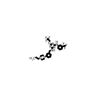 CCCN1CCN(c2cccc(CNc3nc(Nc4cccc(C(F)(F)F)c4)nc(OCC(F)(F)F)n3)c2)CC1